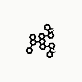 c1ccc(-c2cc(-c3c4cccc(-c5cccc6sc7ccccc7c56)c4cc4c(-c5cccc6sc7ccccc7c56)cccc34)c3ccccc3c2)cc1